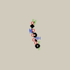 O=C(COc1ccc(F)cc1F)N[C@@H]1CC[C@@H](c2nnc([C@H]3C[C@@H](OC(F)(F)F)C3)o2)OC1